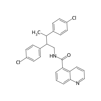 CC(c1ccc(Cl)cc1)C(CNC(=O)c1cccc2ncccc12)c1ccc(Cl)cc1